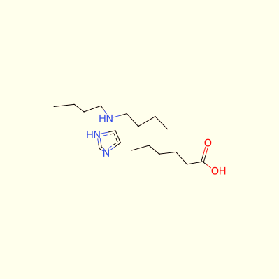 CCCCCC(=O)O.CCCCNCCCC.c1c[nH]cn1